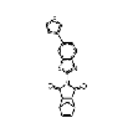 O=C1C2C3C=CC(C3)C2C(=O)N1c1nc2ccc(-c3ccsc3)cc2s1